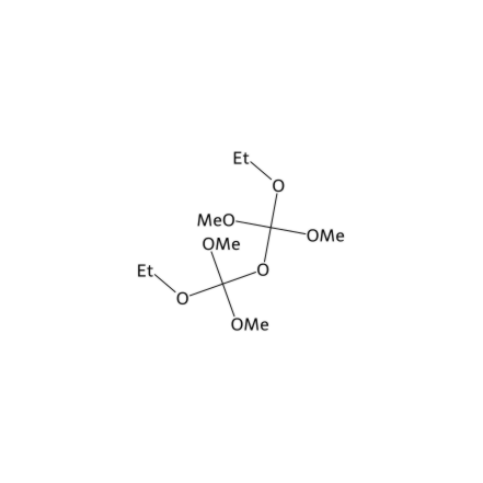 CCOC(OC)(OC)OC(OC)(OC)OCC